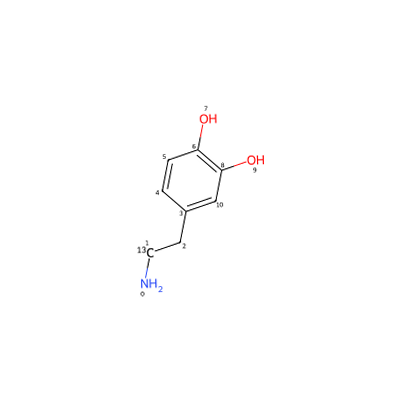 N[13CH2]Cc1ccc(O)c(O)c1